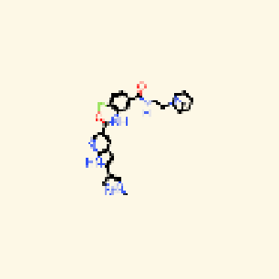 Cn1cc(-c2cc3cc(C(=O)Nc4cc(C(=O)NCCN5CC6CCC5CC6)ccc4F)cnc3[nH]2)cn1